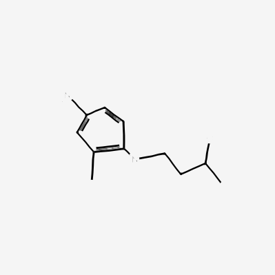 Cc1cc(N)ccc1NCCC(C)O